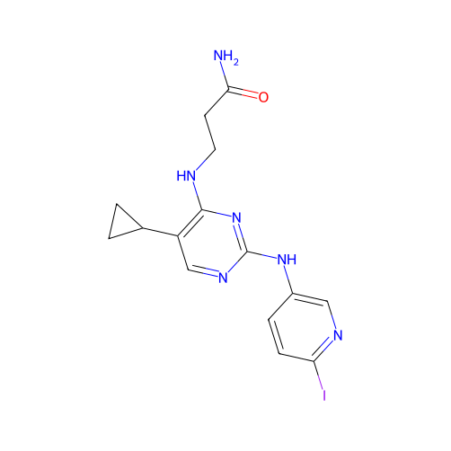 NC(=O)CCNc1nc(Nc2ccc(I)nc2)ncc1C1CC1